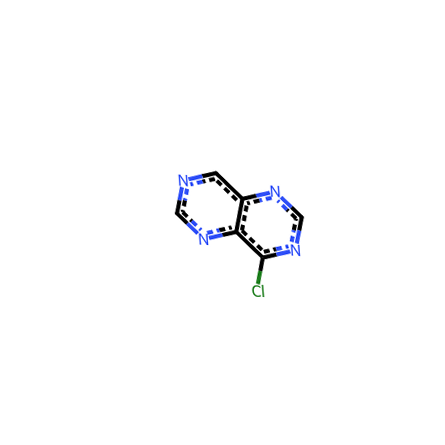 Clc1ncnc2cncnc12